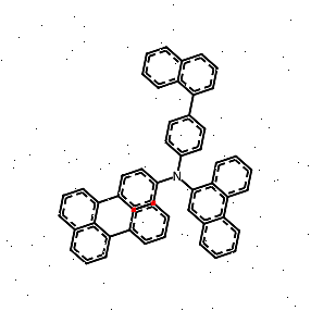 c1ccc(-c2cccc3cccc(-c4ccc(N(c5ccc(-c6cccc7ccccc67)cc5)c5cc6ccccc6c6ccccc56)cc4)c23)cc1